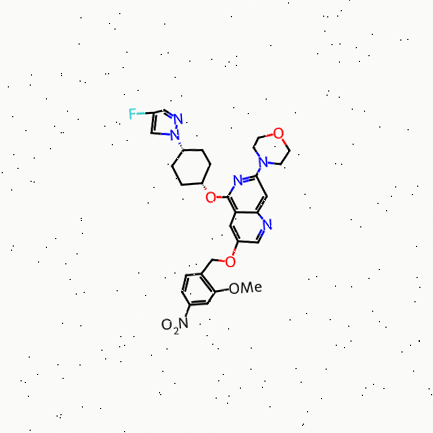 COc1cc([N+](=O)[O-])ccc1COc1cnc2cc(N3CCOCC3)nc(O[C@H]3CC[C@@H](n4cc(F)cn4)CC3)c2c1